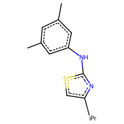 Cc1cc(C)cc(Nc2nc(C(C)C)cs2)c1